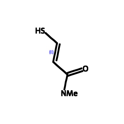 CNC(=O)/C=C/S